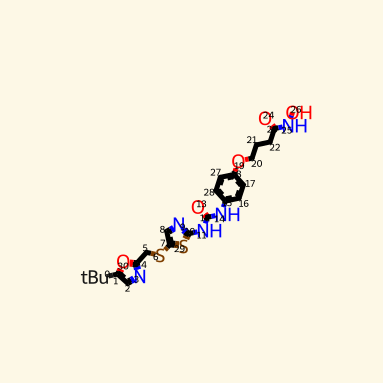 CC(C)(C)c1cnc(CSc2cnc(NC(=O)Nc3ccc(OCCCC(=O)NO)cc3)s2)o1